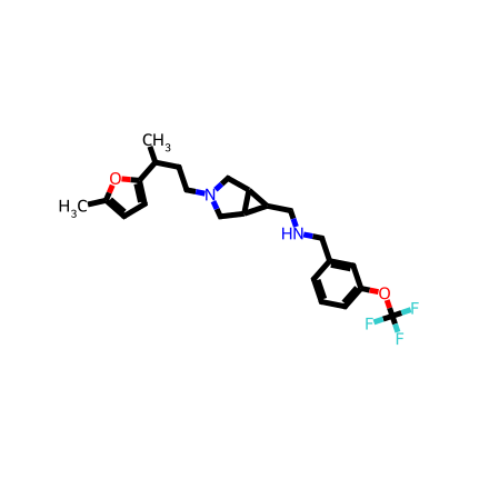 Cc1ccc(C(C)CCN2CC3C(CNCc4cccc(OC(F)(F)F)c4)C3C2)o1